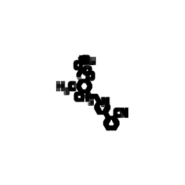 C[C@@H]1[C@@H](C)[C@H](CC(=O)OC(C)(C)C)C(=O)C[C@H]1/C=C/c1ccc(-c2ccccc2C#N)cn1